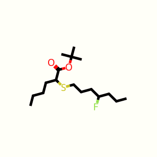 CCCCC(SCCCC(F)CCC)C(=O)OC(C)(C)C